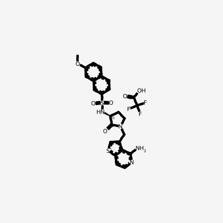 COc1ccc2ccc(S(=O)(=O)N[C@H]3CCN(Cc4csc5ccnc(N)c45)C3=O)cc2c1.O=C(O)C(F)(F)F